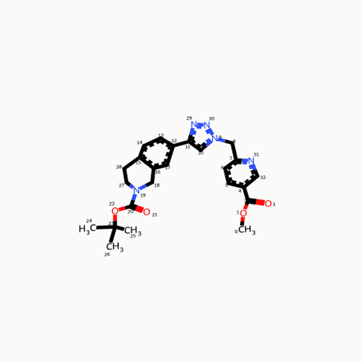 COC(=O)c1ccc(Cn2cc(-c3ccc4c(c3)CN(C(=O)OC(C)(C)C)CC4)nn2)nc1